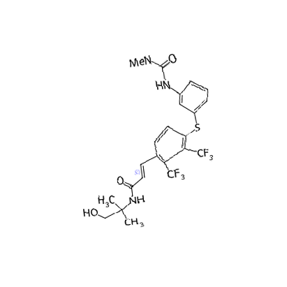 CNC(=O)Nc1cccc(Sc2ccc(/C=C/C(=O)NC(C)(C)CO)c(C(F)(F)F)c2C(F)(F)F)c1